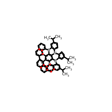 CC(C)c1ccc2c(c1)B1c3ccccc3Sc3c1c1c4c(c3-c3c(-c5ccccc5)cccc3-c3ccccc3)N(c3c(F)cccc3F)c3ccc(C(C)C)cc3B4c3cc(C(C)C)ccc3N21